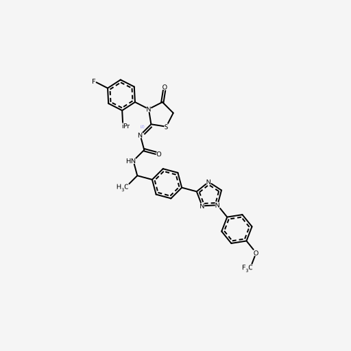 CC(C)c1cc(F)ccc1N1C(=O)CS/C1=N\C(=O)NC(C)c1ccc(-c2ncn(-c3ccc(OC(F)(F)F)cc3)n2)cc1